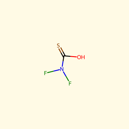 OC(=S)N(F)F